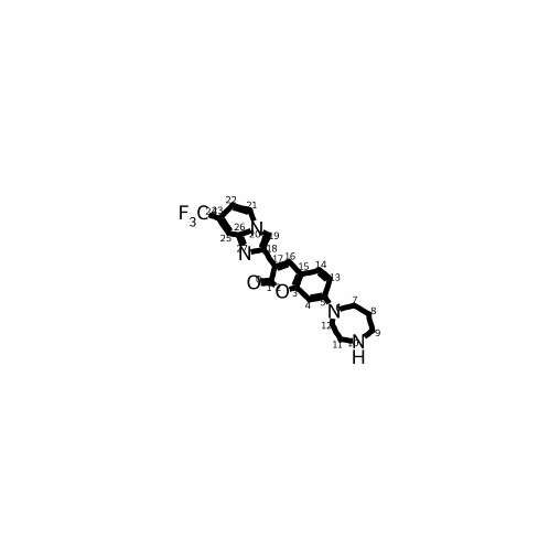 O=c1oc2cc(N3CCCNCC3)ccc2cc1-c1cn2ccc(C(F)(F)F)cc2n1